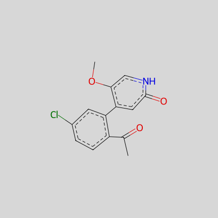 COc1c[nH]c(=O)cc1-c1cc(Cl)ccc1C(C)=O